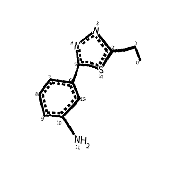 CCc1nnc(-c2cccc(N)c2)s1